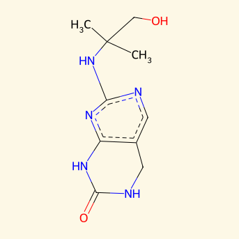 CC(C)(CO)Nc1ncc2c(n1)NC(=O)NC2